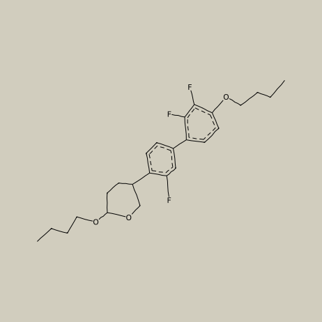 CCCCOc1ccc(-c2ccc(C3CCC(OCCCC)OC3)c(F)c2)c(F)c1F